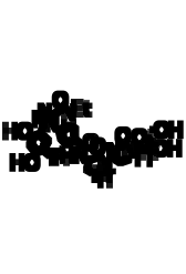 CCNC(=O)c1nnc(-c2cc(C(C)C)c(O)cc2O)n1-c1ccc(C(=O)NC(CC(C)C)C(=O)Nc2ccn([C@@H]3O[C@H](CO)[C@@H](O)C3(F)F)c(=O)n2)cc1